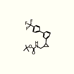 CC(C)(C)OC(=O)NCC1CC1c1cccc(-c2ccc(C(F)(F)F)cc2)c1